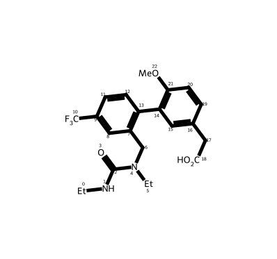 CCNC(=O)N(CC)Cc1cc(C(F)(F)F)ccc1-c1cc(CC(=O)O)ccc1OC